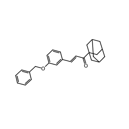 O=C(C=Cc1cccc(OCc2ccccc2)c1)C12CC3CC(CC(C3)C1)C2